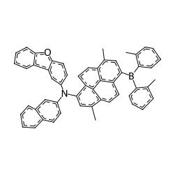 Cc1ccccc1B(c1ccccc1C)c1cc(C)c2ccc3c(N(c4ccc5ccccc5c4)c4ccc5oc6ccccc6c5c4)cc(C)c4ccc1c2c43